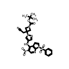 CC(C)(C)OC(=O)N1CC(CC#N)(n2cc(Nc3c([N+](=O)[O-])cnc4c3ccn4S(=O)(=O)c3ccccc3)cn2)C1